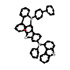 c1ccc(-c2ccc(N(c3ccc4oc5cc(N(c6ccccc6)c6cccc7sc8ccccc8c67)ccc5c4c3)c3ccccc3-c3ccccc3)cc2)cc1